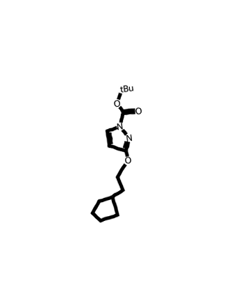 CC(C)(C)OC(=O)n1ccc(OCCC2CCCC2)n1